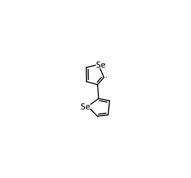 [c]1[se]ccc1-c1ccc[se]1